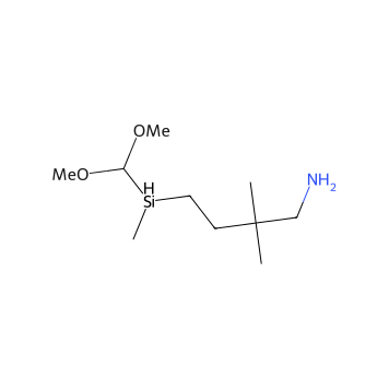 COC(OC)[SiH](C)CCC(C)(C)CN